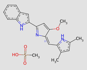 COC1=CC(c2cc3ccccc3[nH]2)=N/C1=C/c1[nH]c(C)cc1C.CS(=O)(=O)O